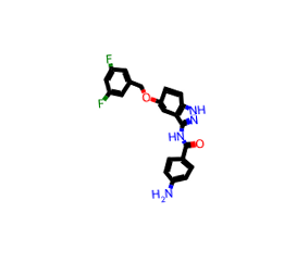 Nc1ccc(C(=O)Nc2n[nH]c3ccc(OCc4cc(F)cc(F)c4)cc23)cc1